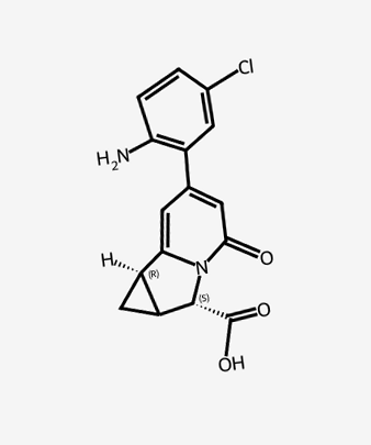 Nc1ccc(Cl)cc1-c1cc2n(c(=O)c1)[C@H](C(=O)O)C1C[C@@H]21